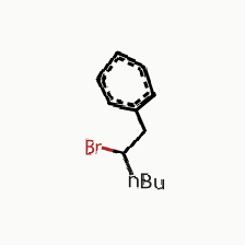 CCCCC(Br)Cc1ccccc1